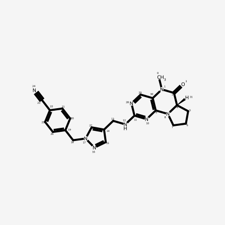 CN1C(=O)[C@@H]2CCCN2c2nc(NCc3cnn(Cc4ccc(C#N)cc4)c3)ncc21